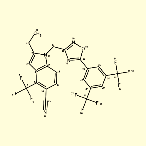 CCc1cc2c(C(F)(F)F)c(C#N)ccc2n1Cc1noc(-c2cc(C(F)(F)F)cc(C(F)(F)F)c2)n1